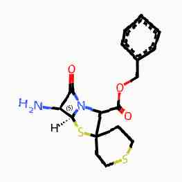 NC1C(=O)N2C(C(=O)OCc3ccccc3)C3(CCSCC3)S[C@@H]12